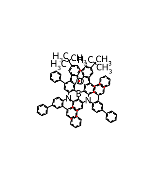 CC(C)(C)c1ccc2oc3c4c(cc(-c5ccccc5)c3c2c1)N(c1ccc(-c2ccccc2)cc1-c1ccccc1)c1cc(-c2ccccc2)cc2c1B4c1c(cc(-c3ccccc3)c3c1oc1ccc(C(C)(C)C)cc13)N2c1ccc(-c2ccccc2)cc1-c1ccccc1